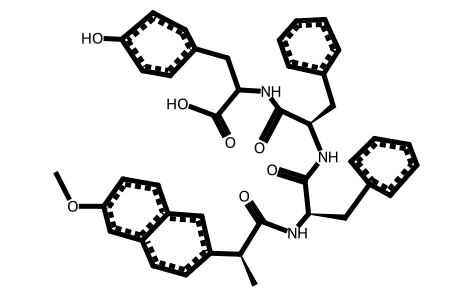 COc1ccc2cc([C@H](C)C(=O)N[C@H](Cc3ccccc3)C(=O)N[C@H](Cc3ccccc3)C(=O)NC(Cc3ccc(O)cc3)C(=O)O)ccc2c1